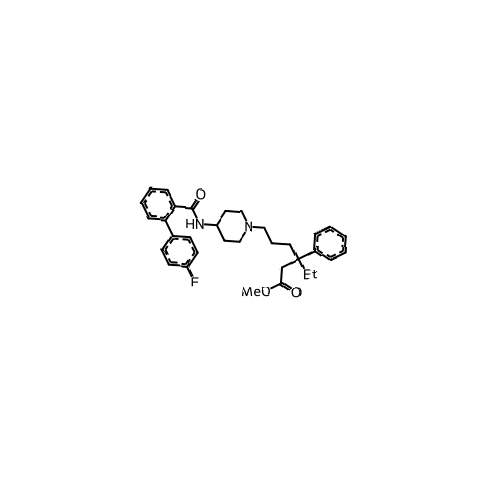 CCC(CCCN1CCC(NC(=O)c2ccccc2-c2ccc(F)cc2)CC1)(CC(=O)OC)c1ccccc1